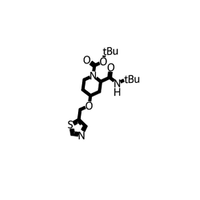 CC(C)(C)NC(=O)C1CC(OCc2cncs2)CCN1C(=O)OC(C)(C)C